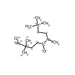 CN(CC[N+](C)(C)C)[S+]([O-])CCC(C)(C)NCl